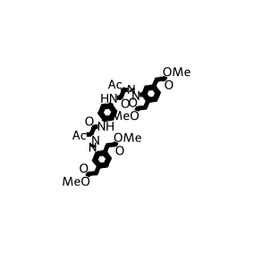 COC(=O)Cc1ccc(CC(=O)OC)c(N=NC(C(C)=O)C(=O)Nc2ccc(NC(=O)C(N=Nc3cc(CC(=O)OC)ccc3CC(=O)OC)C(C)=O)cc2)c1